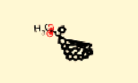 COC(=O)CCC1(c2ccccc2)C2C=c3cc4cc5ccc6cc7cc8cc9cc%10c%11c%12c(c3c3c4c4c5c6c5c7c8c(c9%11)c(c%123)c54)C21C%10